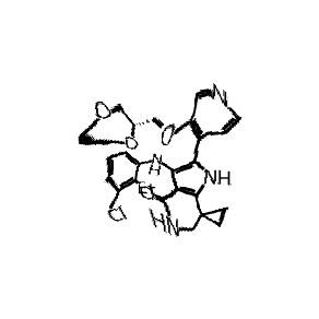 CCc1c(Cl)cccc1Nc1c(-c2ccncc2OC[C@H]2COCCO2)[nH]c2c1C(=O)NCC21CC1